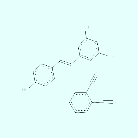 N#Cc1ccccc1C#N.Oc1ccc(/C=C/c2cc(O)cc(O)c2)cc1